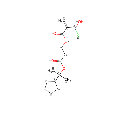 C=C(C(=O)OCCC(=O)OC(C)(C)C1CCCC1)C(O)Cl